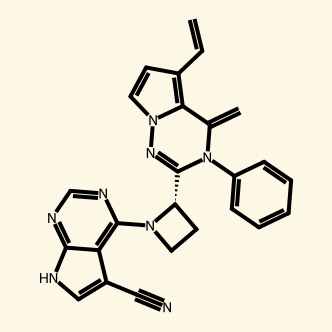 C=Cc1ccn2c1C(=C)N(c1ccccc1)C([C@@H]1CCN1c1ncnc3[nH]cc(C#N)c13)=N2